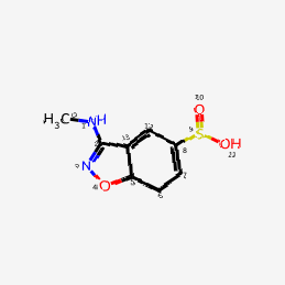 CNC1=NOC2CC=C(S(=O)O)C=C12